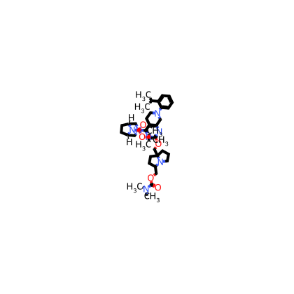 CC(C)c1ccccc1N1CCc2c(nc(OCC34CCCN3C(COC(=O)N(C)C)CC4)nc2N2C[C@H]3CC[C@@H](C2)N3C(=O)OC(C)(C)C)C1